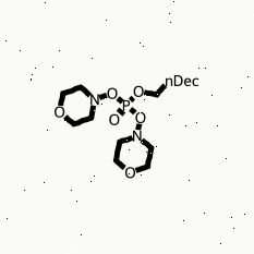 CCCCCCCCCCCOP(=O)(ON1CCOCC1)ON1CCOCC1